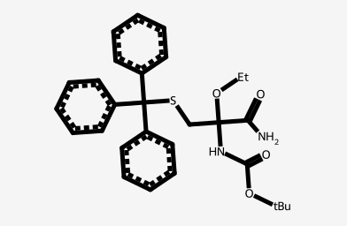 CCOC(CSC(c1ccccc1)(c1ccccc1)c1ccccc1)(NC(=O)OC(C)(C)C)C(N)=O